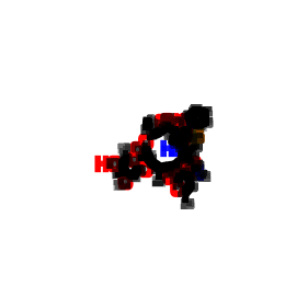 CC[C@H]1OC(=O)[C@H](C)[C@@H](O[C@H]2C[C@@](C)(OC)[C@@H](O)[C@H](C)O2)[C@H](C)[C@@H](O[C@@H]2O[C@H](C)C[C@H](N(C)C)[C@H]2OC(=O)[C@H](CSSc2ccccc2[N+](=O)[O-])NC(C)=O)[C@](C)(O)C[C@@H](C)CN(C)[C@H](C)[C@@H](O)[C@]1(C)O